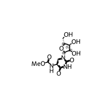 COC(=O)Nc1cn([C@@H]2O[C@H](CO)[C@@H](O)[C@H]2O)c(=O)[nH]c1=O